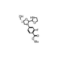 CC(C)(C)OC(=O)c1ccc(N2C[C@H](CO)OC2C2NCCO2)cc1F